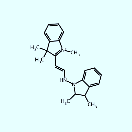 CC1c2ccccc2N(NC=CC2=[N+](C)c3ccccc3C2(C)C)C1C